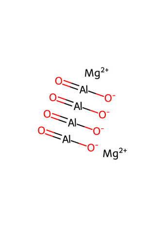 [Mg+2].[Mg+2].[O]=[Al][O-].[O]=[Al][O-].[O]=[Al][O-].[O]=[Al][O-]